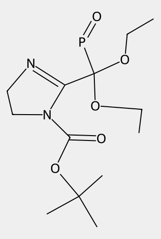 CCOC(OCC)(P=O)C1=NCCN1C(=O)OC(C)(C)C